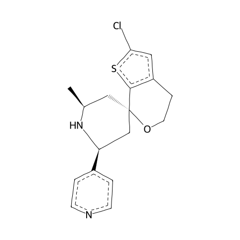 C[C@H]1C[C@@]2(C[C@@H](c3ccncc3)N1)OCCc1cc(Cl)sc12